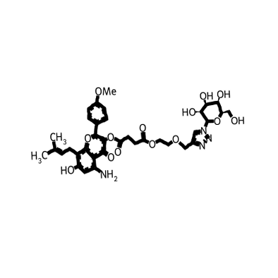 COc1ccc(-c2oc3c(CC=C(C)C)c(O)cc(N)c3c(=O)c2OC(=O)CCC(=O)OCCOCc2cn(C3O[C@H](CO)[C@@H](O)[C@H](O)[C@H]3O)nn2)cc1